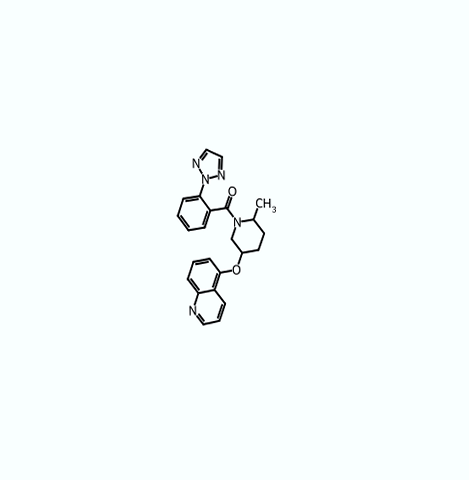 CC1CCC(Oc2cccc3ncccc23)CN1C(=O)c1ccccc1-n1nccn1